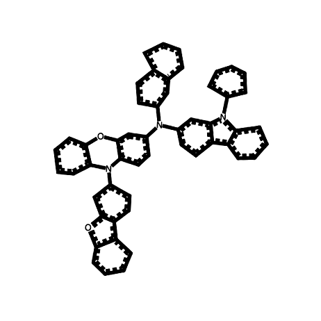 c1ccc(-n2c3ccccc3c3ccc(N(c4ccc5c(c4)Oc4ccccc4N5c4ccc5c(c4)oc4ccccc45)c4ccc5ccccc5c4)cc32)cc1